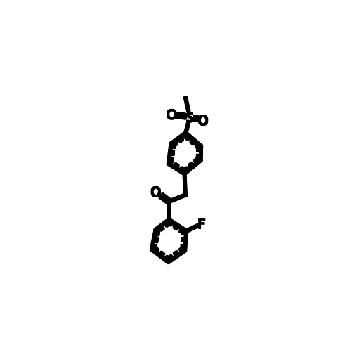 CS(=O)(=O)c1ccc(CC(=O)c2ccccc2F)cc1